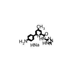 Cc1cc(C(=O)Nc2nnn[nH]2)nc(-c2ccc(N)cc2)c1.[NaH]